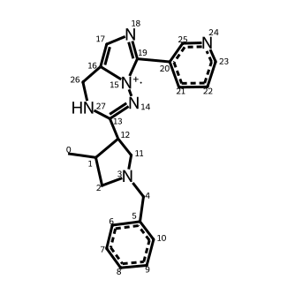 CC1CN(Cc2ccccc2)CC1C1=N[N+]2C(=CN=C2c2cccnc2)CN1